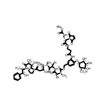 CC[C@H](C)[C@@H]([C@@H](CC(=O)N1CCC[C@H]1[C@H](OC)[C@@H](C)C(=O)N[C@H](C)[C@@H](O)c1ccccc1)OC)N(C)C(=O)C(NC(=O)[C@H](C(C)C)N(C)C(=O)OCc1ccc(O[C@@H]2C[C@H](C(=O)O)[C@@H](O)[C@H](O)[C@H]2O)c(NC(=O)CCNC(=O)[C@H](CNC(=O)OC(C)(C)C)N2C(=O)C=CC2=O)c1)C(C)C